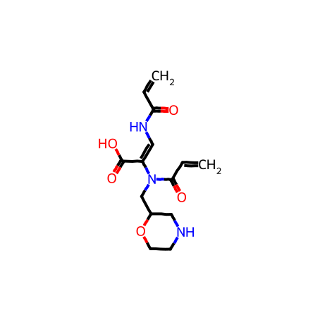 C=CC(=O)NC=C(C(=O)O)N(CC1CNCCO1)C(=O)C=C